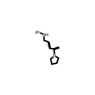 C=C(/C=C/CNC(C)C)N1CCCC1